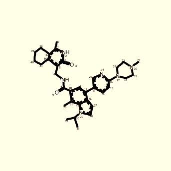 Cc1[nH]c(=O)c(CNC(=O)c2cc(-c3ccc(N4CCN(C)CC4)nc3)c3ccn(C(C)C)c3c2C)c2c1CCCC2